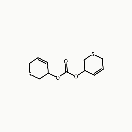 O=C(OC1C=CCSC1)OC1C=CCSC1